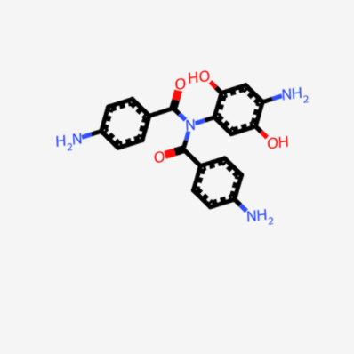 Nc1ccc(C(=O)N(C(=O)c2ccc(N)cc2)c2cc(O)c(N)cc2O)cc1